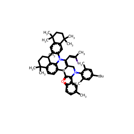 C/C(I)=C/C1=C2CN(c3c(C)cc(C(C)(C)C)cc3C)c3c(oc4ccc(C)cc34)B2c2ccc3c4c2N1c1cc2c(cc1C4(C)CCC3(C)C)C(C)(C)CCC2(C)C